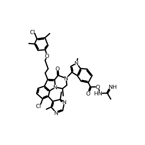 CC(=N)NOC(=O)c1ccc2c(c1)c(N1CC(C)n3c(c(CCCOc4cc(C)c(Cl)c(C)c4)c4ccc(Cl)c(-c5c(C)ncnc5C)c43)C1=O)cn2C